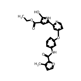 CCOC(=O)c1cc(-c2cc(Oc3cccc(NC(=O)c4occc4C)c3)ccn2)[nH]c1O